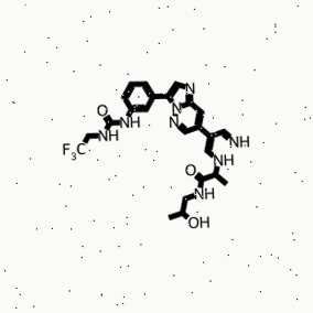 CC(O)CNC(=O)C(C)N/C=C(\C=N)c1cnn2c(-c3cccc(NC(=O)NCC(F)(F)F)c3)cnc2c1